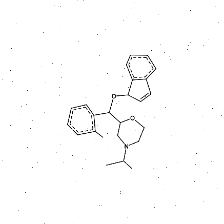 Cc1ccccc1C(OC1C=Cc2ccccc21)C1CN(C(C)C)CCO1